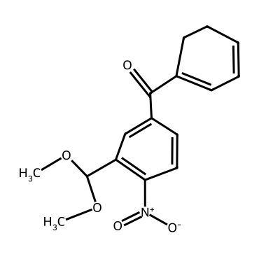 COC(OC)c1cc(C(=O)C2=CC=CCC2)ccc1[N+](=O)[O-]